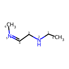 CCNC/C=N\C